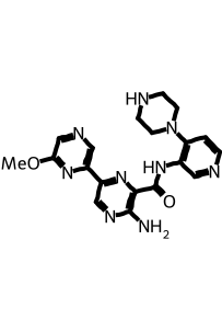 COc1cncc(-c2cnc(N)c(C(=O)Nc3cnccc3N3CCNCC3)n2)n1